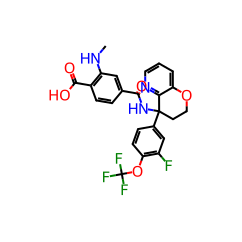 CNc1cc(C(=O)NC2(c3ccc(OC(F)(F)F)c(F)c3)CCOc3cccnc32)ccc1C(=O)O